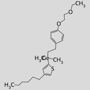 CCCCCCc1cs[c]([Ge]([CH3])([CH3])[CH2]Cc2ccc(OCCOCC)cc2)c1